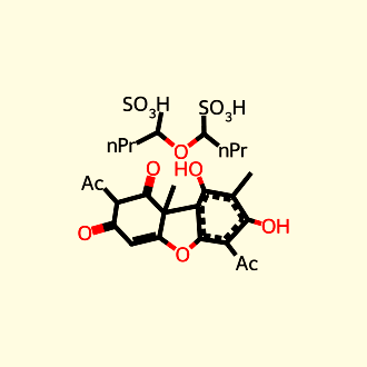 CC(=O)c1c(O)c(C)c(O)c2c1OC1=CC(=O)C(C(C)=O)C(=O)C12C.CCCC(OC(CCC)S(=O)(=O)O)S(=O)(=O)O